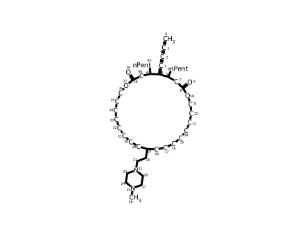 C=C=C=C=C1C(CCCCC)CC(=O)OCCCCCCCCC(CCN2CCN(C)CC2)CCCCCCCCOC(=O)CC1CCCCC